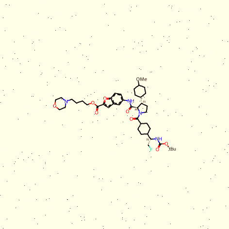 COC1CCC([C@@H]2CCN(C(=O)C3CCC([C@@H](CF)NC(=O)OC(C)(C)C)CC3)[C@H]2C(=O)Nc2ccc3oc(C(=O)OCCCCN4CCOCC4)cc3c2)CC1